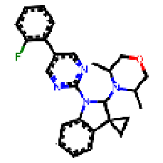 CC1COCC(C)N1C1N(c2ncc(-c3ccccc3F)cn2)c2c[c]ccc2C12CC2